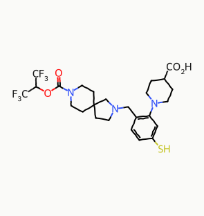 O=C(O)C1CCN(c2cc(S)ccc2CN2CCC3(CCN(C(=O)OC(C(F)(F)F)C(F)(F)F)CC3)C2)CC1